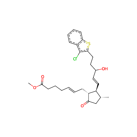 COC(=O)CCCC=CC[C@H]1C(=O)C[C@@H](C)[C@@H]1C=CC(O)CCc1sc2ccccc2c1Cl